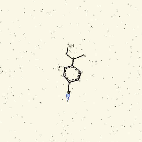 CC(C[TeH])c1ccc(C#N)cc1.[H+]